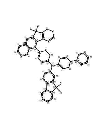 CC1(C)C2=C(C=CCC2)c2c1cc1ccccc1c2C1=CC=C(N(C2=CCC(c3ccccc3)C=C2)c2ccc3c(c2)C(C)(C)c2ccccc2-3)CC1